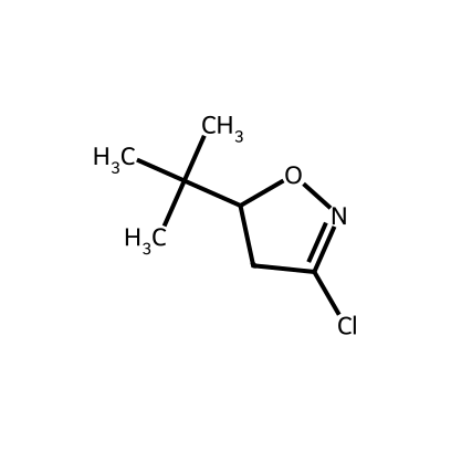 CC(C)(C)C1CC(Cl)=NO1